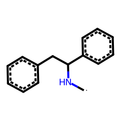 [CH2]NC(Cc1ccccc1)c1ccccc1